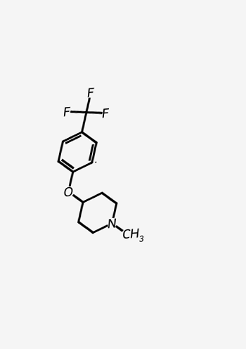 CN1CCC(Oc2[c]cc(C(F)(F)F)cc2)CC1